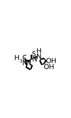 Cc1nc2ccccn2c1-c1csc(Nc2ccc(O)c(O)c2)n1